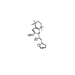 CCCc1cc2c(cc1/C(=C/c1ccno1)CC)C(C)(C)CCC2(C)C